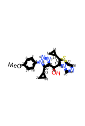 COc1ccc(-n2nnc(C(O)c3c(C4CC4)sc4cncn34)c2C2CC2)cc1